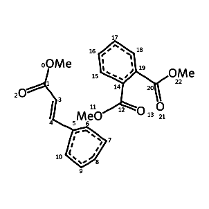 COC(=O)/C=C/c1ccccc1.COC(=O)c1ccccc1C(=O)OC